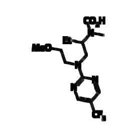 CCC(CN(CCOC)c1ncc(C(F)(F)F)cn1)N(C)C(=O)O